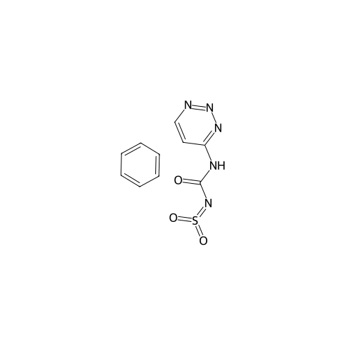 O=C(N=S(=O)=O)Nc1ccnnn1.c1ccccc1